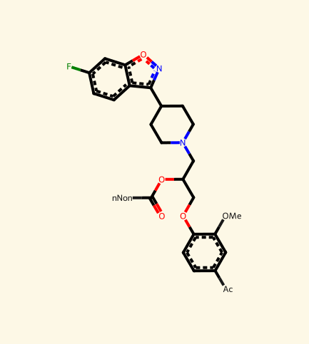 CCCCCCCCCC(=O)OC(COc1ccc(C(C)=O)cc1OC)CN1CCC(c2noc3cc(F)ccc23)CC1